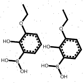 CCOc1cccc(B(O)O)c1O.CCOc1cccc(B(O)O)c1O